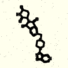 O=C1CCC(N2C(=O)c3ccc(CN4CCN(c5noc6ccncc56)CC4)cc3C2=O)C(=O)N1